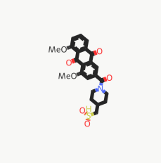 COc1cccc2c1C(=O)c1c(OC)cc(C(=O)N3CCC(C[SH](=O)=O)CC3)cc1C2=O